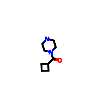 O=C(C1CCC1)N1CC[N]CC1